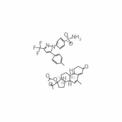 CC(=O)O[C@]1(C(C)=O)CC[C@H]2[C@@H]3C=C(C)C4=CC(=O)CC[C@]4(C)[C@H]3CC[C@@]21C.Cc1ccc(-c2cc(C(F)(F)F)nn2-c2ccc(S(N)(=O)=O)cc2)cc1